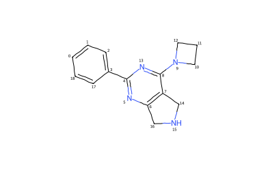 c1ccc(-c2nc3c(c(N4CCC4)n2)CNC3)cc1